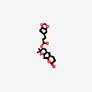 CC1(C)Oc2cc3oc(=O)ccc3cc2C[C@H]1OC(=O)/C=C/c1ccc2c(c1)OCO2